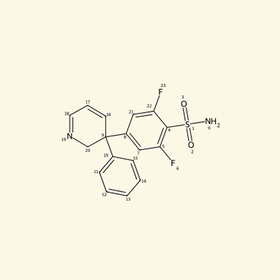 NS(=O)(=O)c1c(F)cc(C2(c3ccccc3)C=CC=NC2)cc1F